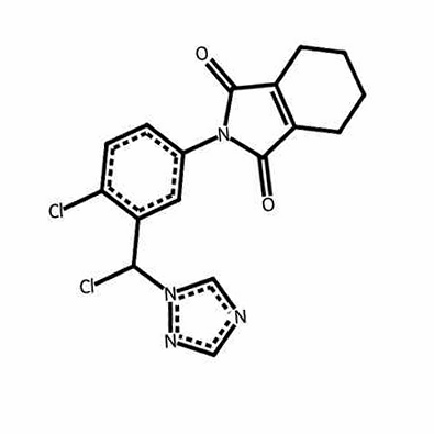 O=C1C2=C(CCCC2)C(=O)N1c1ccc(Cl)c(C(Cl)n2cncn2)c1